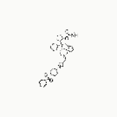 CNC(=O)O[C@H]1CCC[C@@H]1C(Cn1cccc1)(c1ccccc1)C1CCN(CC2CN(c3ccc(S(=O)(=O)c4ccccc4)cc3)C2)CC1